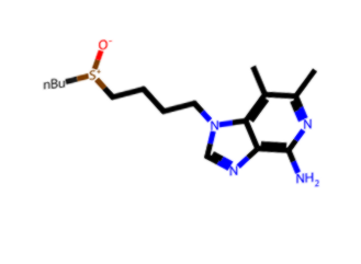 CCCC[S+]([O-])CCCCn1cnc2c(N)nc(C)c(C)c21